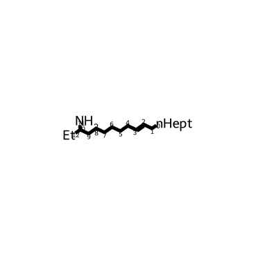 CCCCCCCCC=CCCCCCCC(N)CC